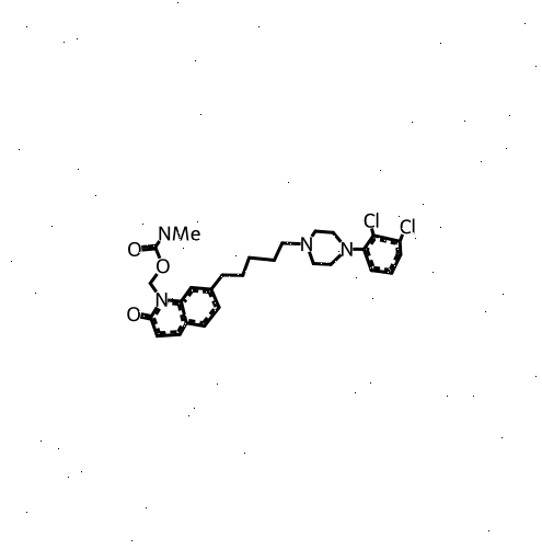 CNC(=O)OCn1c(=O)ccc2ccc(CCCCCN3CCN(c4cccc(Cl)c4Cl)CC3)cc21